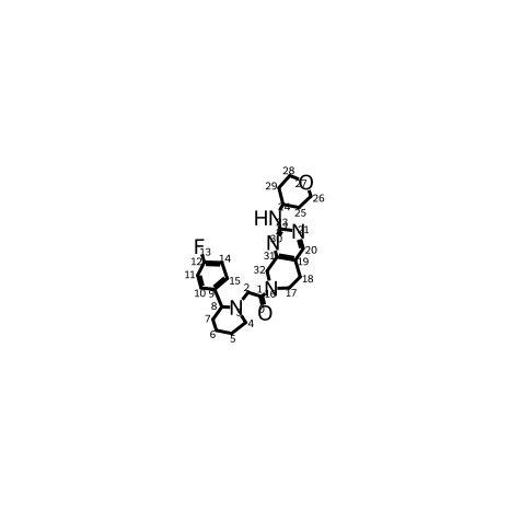 O=C(CN1CCCCC1c1ccc(F)cc1)N1CCc2cnc(NC3CCOCC3)nc2C1